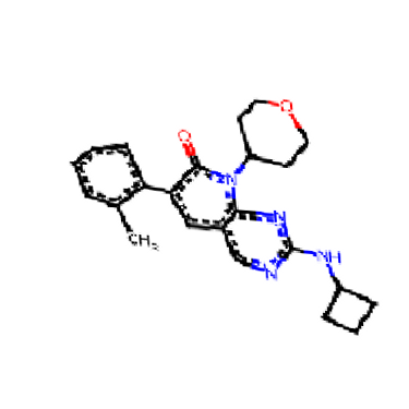 Cc1ccccc1-c1cc2cnc(NC3CCC3)nc2n(C2CCOCC2)c1=O